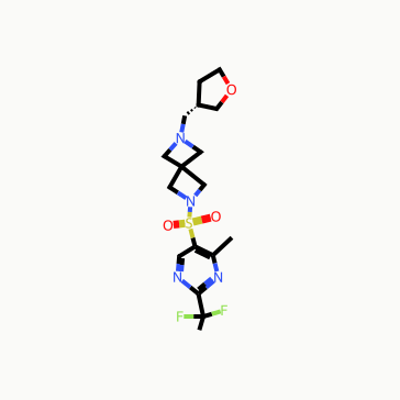 Cc1nc(C(C)(F)F)ncc1S(=O)(=O)N1CC2(CN(C[C@@H]3CCOC3)C2)C1